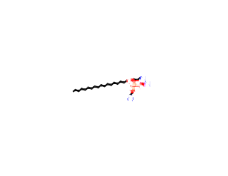 CCCCCCCCCCCCCCCCCCOCC(CN(C)C(N)=O)OP(=O)([O-])OCC[N+](C)(C)C